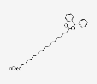 CCCCCCCCCCCCCCCCCCCCCCCCCCC(=O)OC(c1ccccc1)c1ccccc1